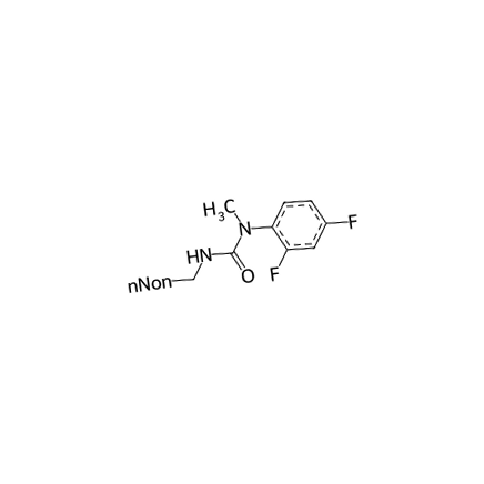 CCCCCCCCCCNC(=O)N(C)c1ccc(F)cc1F